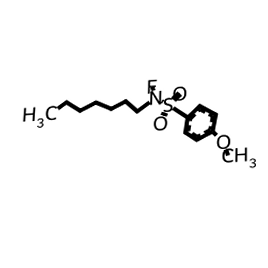 CCCCCCCN(F)S(=O)(=O)c1ccc(OC)cc1